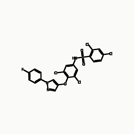 O=S(=O)(Nc1cc(Cl)c(Oc2cnn(-c3ccc(F)cc3)c2)c(Cl)c1)c1ccc(Cl)cc1Cl